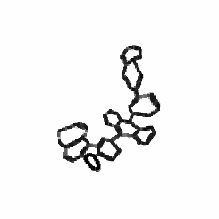 C1=Cc2c(ccc3oc4c(c23)=CC(c2c3ccccc3c(-c3cccc(-c5ccc6ccccc6c5)c3)c3ccccc23)CC=4)CC1